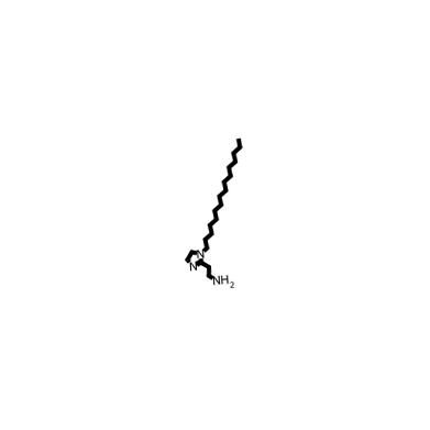 CCCCCCCCCCCCCCCCN1CCN=C1CCN